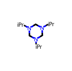 CC(C)N1CN(C(C)C)CN(C(C)C)C1